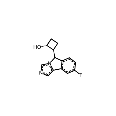 O[C@@H]1CC[C@H]1C1c2ccc(F)cc2-c2cncn21